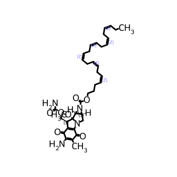 CC/C=C\C/C=C\C/C=C\C/C=C\C/C=C\C/C=C\CCCOC(=O)N1[C@H]2[C@@H]1CN1C3=C(C(=O)C(N)=C(C)C3=O)[C@@H](COC(N)=O)C21OC